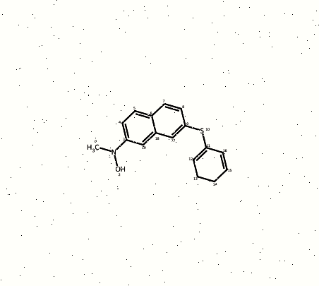 CN(O)c1ccc2ccc(SC3=CCCC=C3)cc2c1